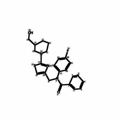 O=C(c1cccnc1)N(Cc1csc(N2CCCC(CO)C2)n1)c1ccc(F)cc1